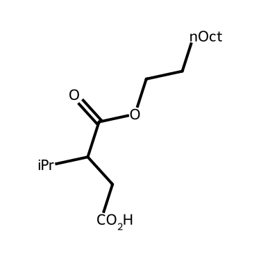 CCCCCCCCCCOC(=O)C(CC(=O)O)C(C)C